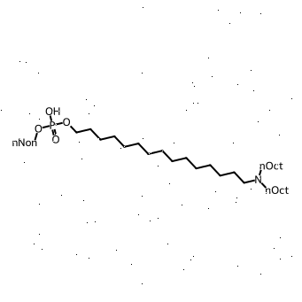 CCCCCCCCCOP(=O)(O)OCCCCCCCCCCCCCCCN(CCCCCCCC)CCCCCCCC